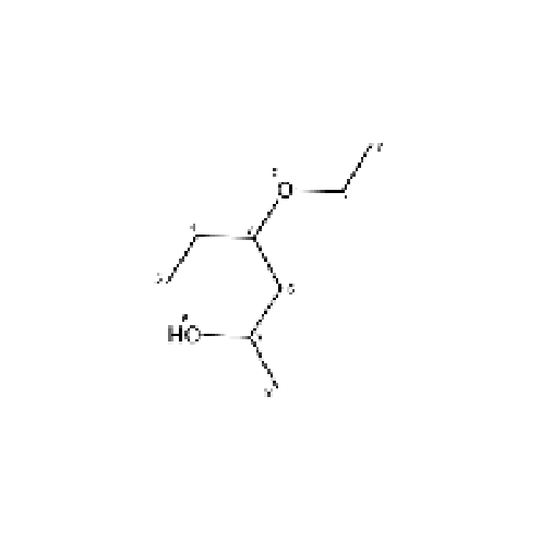 CCOC(CC)CC(C)O